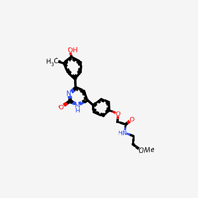 COCCNC(=O)COc1ccc(-c2cc(-c3ccc(O)c(C)c3)nc(=O)[nH]2)cc1